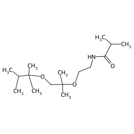 CC(C)C(=O)NCCOC(C)(C)COC(C)(C)C(C)C